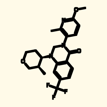 COc1ccc(N2CN([C@@H]3CCOC[C@@H]3C)c3cc(C(F)(F)F)ccc3C2=O)c(C)n1